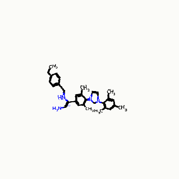 C=Cc1ccc(CN/C(=C\N)c2cc(C)c(N3CCN(c4c(C)cc(C)cc4C)C3)c(C)c2)cc1